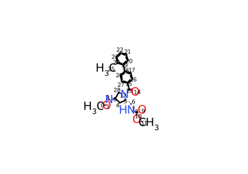 CO/N=C1\C[C@@H](CNC(=O)OC)N(C(=O)c2ccc(-c3ccccc3C)cc2)C1